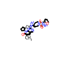 Cc1cc2cnc(NC3CCN(S(=O)(=O)NC[C@H]4CCCO4)CC3)nc2n([C@@H]2CCC[C@@H]2C)c1=O